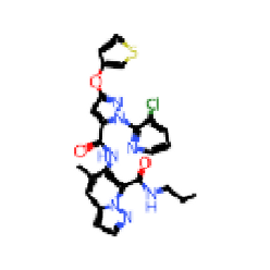 CCCNC(=O)c1c(NC(=O)c2cc(Oc3ccsc3)nn2-c2ncccc2Cl)c(C)cc2ccnn12